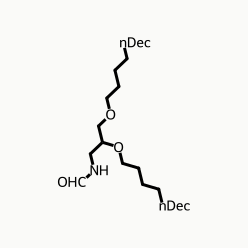 CCCCCCCCCCCCCCOCC(CNC=O)OCCCCCCCCCCCCCC